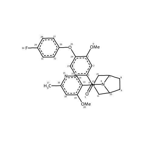 COc1cc(C(=O)N2C3CCC2CN(c2cnc(C)cc2OC)C3)ncc1Oc1ccc(F)cc1